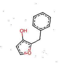 Oc1ccoc1Cc1ccccc1